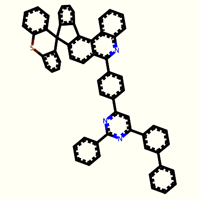 c1ccc(-c2cccc(-c3cc(-c4ccc(-c5nc6ccccc6c6c7c(ccc56)C5(c6ccccc6Sc6ccccc65)c5ccccc5-7)cc4)nc(-c4ccccc4)n3)c2)cc1